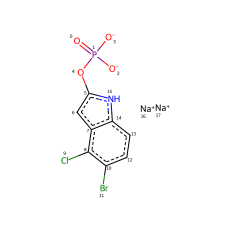 O=P([O-])([O-])Oc1cc2c(Cl)c(Br)ccc2[nH]1.[Na+].[Na+]